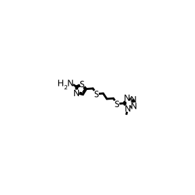 Cn1nnnc1SCCCSCc1cnc(N)s1